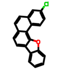 Clc1ccc2c(ccc3ccc4c5ccccc5oc4c32)c1